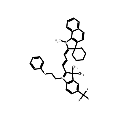 CN1/C(=C/C=C/C2=[N+](CCSc3ccccc3)c3ccc(C(F)(F)F)cc3C2(C)C)C2(CCCCC2)c2ccc3ccccc3c21